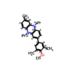 CCOc1c(C)cc(-c2ccc3c(c2)N(C(C)C)c2ccc(C)cc2N3C(C)C)cc1C